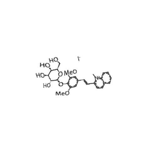 COc1cc(C=Cc2ccc3ccccc3[n+]2C)cc(OC)c1O[C@@H]1O[C@H](CO)[C@H](O)[C@H](O)[C@H]1O.[I-]